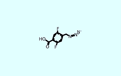 [N-]=[N+]=NCc1cc(F)c(C(=O)O)cc1F